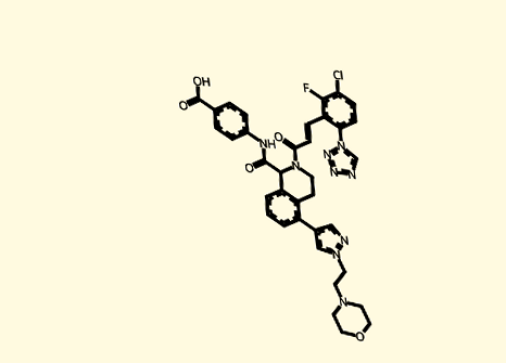 O=C(O)c1ccc(NC(=O)C2c3cccc(-c4cnn(CCN5CCOCC5)c4)c3CCN2C(=O)/C=C/c2c(-n3cnnn3)ccc(Cl)c2F)cc1